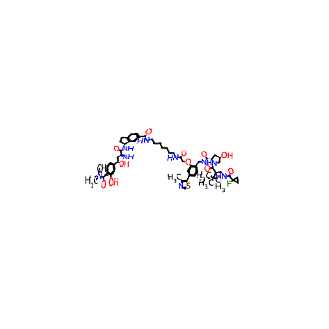 Cc1ncsc1-c1ccc(CNC(=O)[C@@H]2C[C@@H](O)CN2C(=O)C(CNC(=O)C2(F)CC2)C(C)(C)C)c(OCC(=O)NCCCCCCCNC(=O)c2ccc3c(c2)[C@H](NC(=O)C(=N)/C=C(\O)c2ccc(C(=O)N(C)C)c(O)c2)CC3)c1